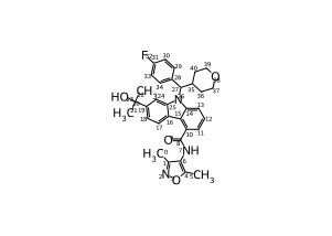 Cc1noc(C)c1NC(=O)c1cccc2c1c1ccc(C(C)(C)O)cc1n2C(c1ccc(F)cc1)C1CCOCC1